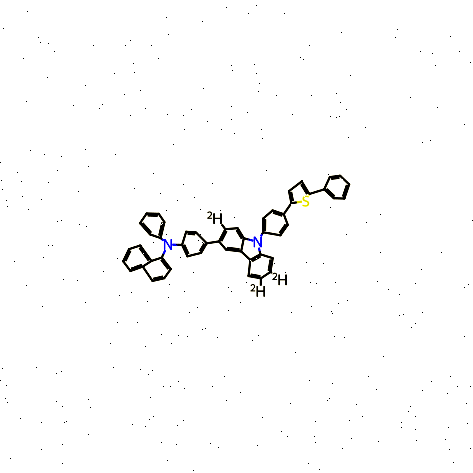 [2H]c1cc2c3cc(-c4ccc(N(c5ccccc5)c5cccc6ccccc56)cc4)c([2H])cc3n(-c3ccc(-c4ccc(-c5ccccc5)s4)cc3)c2cc1[2H]